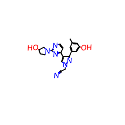 Cc1cc(O)cc(-c2nn(CC#N)cc2-c2ccnc(N3CC[C@H](O)C3)n2)c1